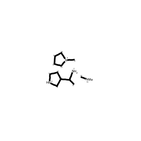 CC(N)C1CCNC1.CN1CCCC1.CNC